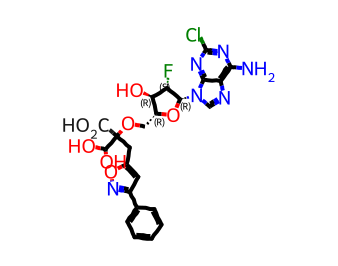 Nc1nc(Cl)nc2c1ncn2[C@@H]1O[C@H](COC(Cc2cc(-c3ccccc3)no2)(C(=O)O)C(O)O)[C@@H](O)[C@@H]1F